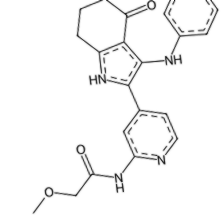 COCC(=O)Nc1cc(-c2[nH]c3c(c2Nc2ccccc2)C(=O)CCC3)ccn1